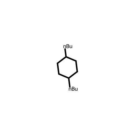 CCCCC1CCC(CCCC)CC1